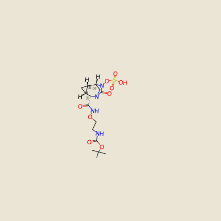 CC(C)(C)OC(=O)NCCONC(=O)[C@@H]1[C@@H]2C[C@@H]2[C@H]2CN1C(=O)N2OS(=O)(=O)O